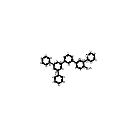 CC(C)c1ccc(-c2cccc(-c3cc(-c4ccccc4)cc(-c4ccccc4)c3)c2)cc1-c1ccccn1